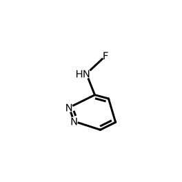 FNc1cccnn1